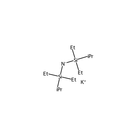 CC[Si](CC)([N-][Si](CC)(CC)C(C)C)C(C)C.[K+]